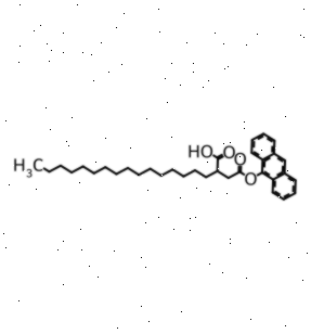 CCCCCCCCCCCCCCCCC(CC(=O)Oc1c2ccccc2cc2ccccc12)C(=O)O